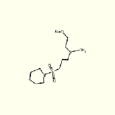 COCCN(C)CCCS(=O)(=O)N1CC[CH]CC1